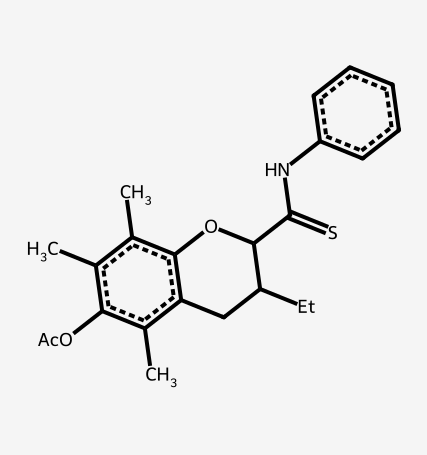 CCC1Cc2c(C)c(OC(C)=O)c(C)c(C)c2OC1C(=S)Nc1ccccc1